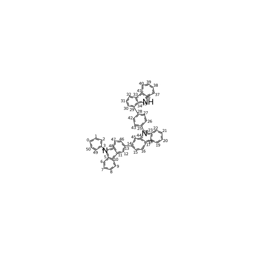 c1ccc(-n2c3ccccc3c3cc(-c4ccc5c6ccccc6n(-c6ccc(-c7cccc8c7[nH]c7ccccc78)cc6)c5c4)ccc32)cc1